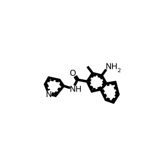 Cc1c(C(=O)Nc2cccnc2)cc2ccccc2c1N